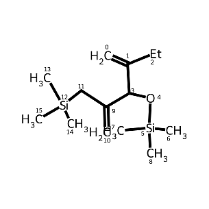 C=C(CC)C(O[Si](C)(C)C)C(=C)C[Si](C)(C)C